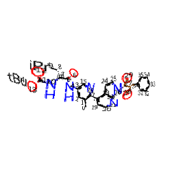 Cc1cc(NC(=O)[C@@H](CC(C)C)NC(=O)OC(C)(C)C)cnc1-c1ccnc2c1ccn2S(=O)(=O)c1ccccc1